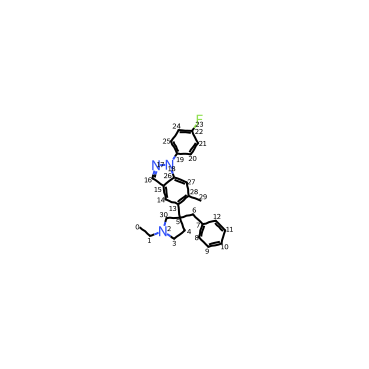 CCN1CCC(Cc2ccccc2)(c2cc3cnn(-c4ccc(F)cc4)c3cc2C)C1